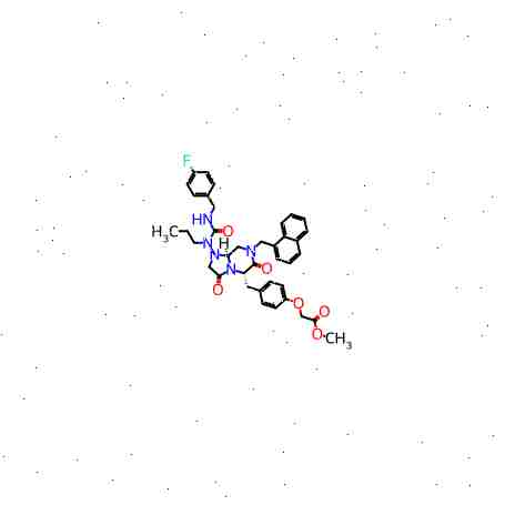 CCCN(C(=O)NCc1ccc(F)cc1)N1CC(=O)N2[C@@H](Cc3ccc(OCC(=O)OC)cc3)C(=O)N(Cc3cccc4ccccc34)C[C@@H]21